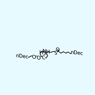 CCCCCCCCCCCCCCCC(=O)SCCC[SiH]1CCCC(OCOCCCCCCCCCCCC)CCN1